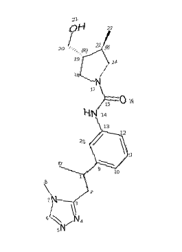 CC(Cc1nncn1C)c1cccc(NC(=O)N2C[C@H](CO)[C@@H](C)C2)c1